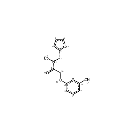 CCN(Cc1cccs1)C(=O)COc1cccc(C#N)c1